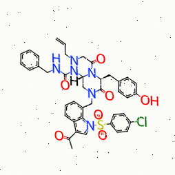 C=CCN1CC(=O)N2[C@@H](Cc3ccc(O)cc3)C(=O)N(Cc3cccc4c(C(C)=O)cn(S(=O)(=O)c5ccc(Cl)cc5)c34)C[C@@H]2N1C(=O)NCc1ccccc1